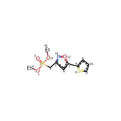 CCOP(=O)(Cc1cc(-c2cccs2)on1)OCC